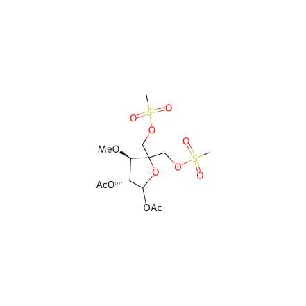 CO[C@@H]1[C@@H](OC(C)=O)C(OC(C)=O)OC1(COS(C)(=O)=O)COS(C)(=O)=O